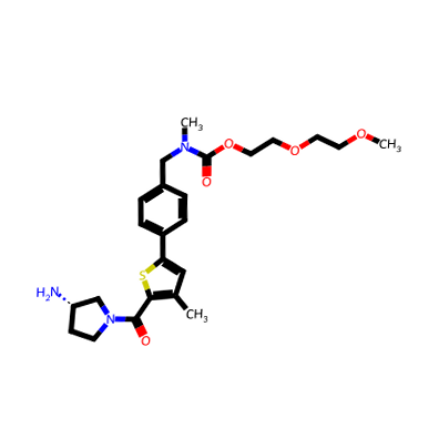 COCCOCCOC(=O)N(C)Cc1ccc(-c2cc(C)c(C(=O)N3CC[C@H](N)C3)s2)cc1